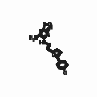 Nc1nc2nonc2nc1NN=Cc1ccc(-c2ccc(Cl)cc2)o1